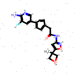 CC1(c2cc(NC(=O)Cc3ccc(-c4cnc(N)c(F)c4)cc3)no2)COC1